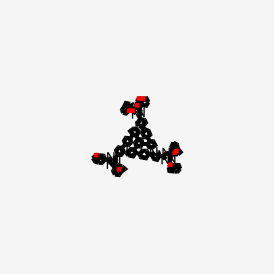 c1ccc(-c2cc(-c3ccccc3-c3ccc(-c4ccc(-c5nc(C67CC8CC(CC(C8)C6)C7)nc(C67CC8CC(CC(C8)C6)C7)n5)cn4)cc3)cc(-c3ccccc3-c3ccc(-c4ccc(-c5nc(C67CC8CC(CC(C8)C6)C7)nc(C67CC8CC(CC(C8)C6)C7)n5)cn4)cc3)c2)c(-c2ccc(-c3ccc(-c4nc(C5C6CC7CC(C6)CC5C7)nc(C56CC7CC(CC(C7)C5)C6)n4)cn3)cc2)c1